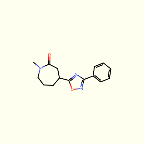 CN1CCCC(c2nc(-c3ccccc3)no2)CC1=O